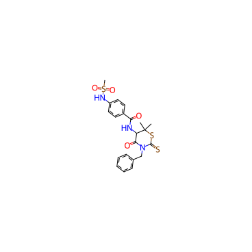 CC1(C)SC(=S)N(Cc2ccccc2)C(=O)C1NC(=O)c1ccc(NS(C)(=O)=O)cc1